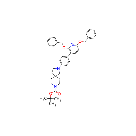 CC(C)(C)OC(=O)N1CCC2(CC1)CCN(c1ccc(-c3ccc(OCc4ccccc4)nc3OCc3ccccc3)cc1)C2